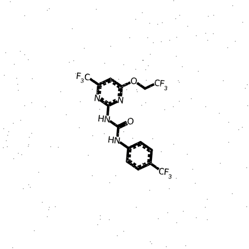 O=C(Nc1ccc(C(F)(F)F)cc1)Nc1nc(OCC(F)(F)F)cc(C(F)(F)F)n1